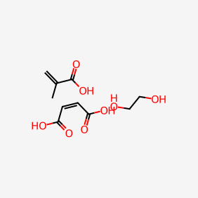 C=C(C)C(=O)O.O=C(O)/C=C\C(=O)O.OCCO